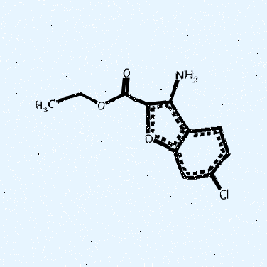 CCOC(=O)c1oc2cc(Cl)ccc2c1N